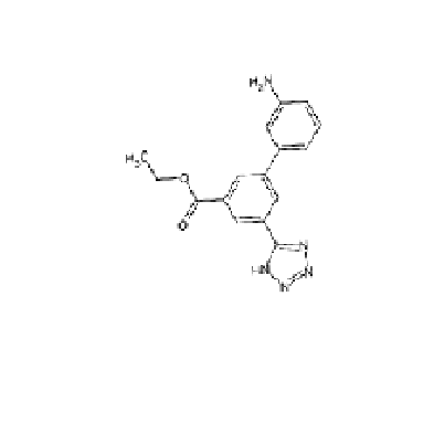 CCOC(=O)c1cc(-c2cccc(N)c2)cc(-c2nnn[nH]2)c1